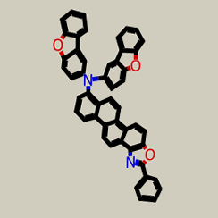 c1ccc(-c2nc3c(ccc4c5ccc6c(N(c7ccc8oc9ccccc9c8c7)c7ccc8oc9ccccc9c8c7)cccc6c5ccc43)o2)cc1